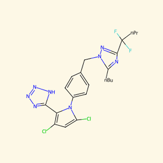 CCCCc1nc(C(F)(F)CCC)nn1Cc1ccc(-n2c(Cl)cc(Cl)c2-c2nnn[nH]2)cc1